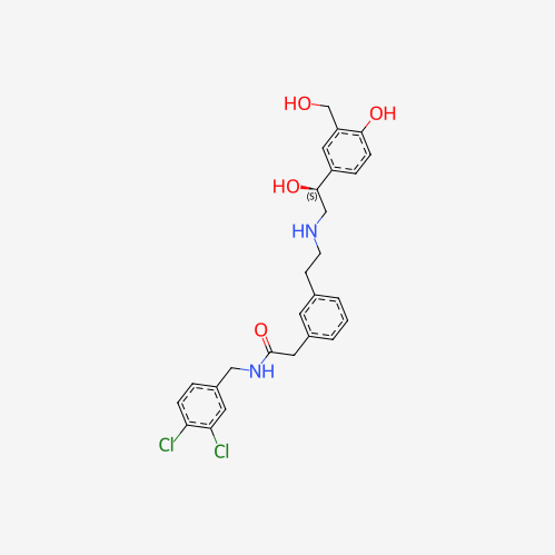 O=C(Cc1cccc(CCNC[C@@H](O)c2ccc(O)c(CO)c2)c1)NCc1ccc(Cl)c(Cl)c1